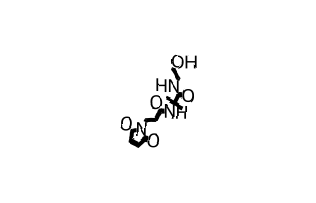 CC(C)(NC(=O)CCN1C(=O)C=CC1=O)C(=O)NCCO